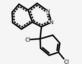 ClC1=CCC(Cl)(c2nncc3ccccc23)C=C1